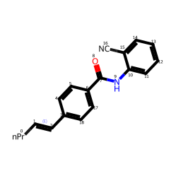 CCC/C=C/c1ccc(C(=O)Nc2ccccc2C#N)cc1